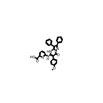 COc1ccc(-c2c(Nc3cccc(C(=O)O)n3)[nH]c3c(-c4ccccc4)c(-c4ccccc4)nn3c2=O)cc1